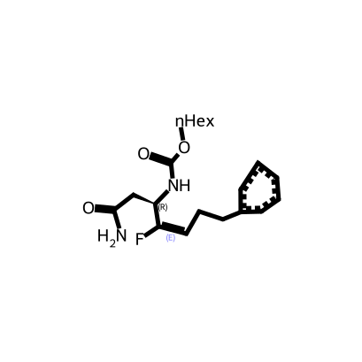 CCCCCCOC(=O)N[C@H](CC(N)=O)/C(F)=C\CCc1ccccc1